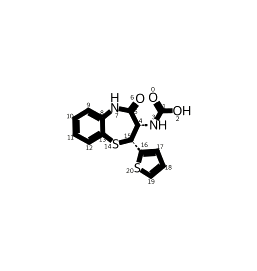 O=C(O)N[C@H]1C(=O)Nc2ccccc2S[C@H]1c1cccs1